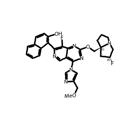 COCc1cn(-c2nc(OC[C@@]34CCCN3C[C@H](F)C4)nc3c(F)c(-c4c(O)ccc5ccccc45)ncc23)cn1